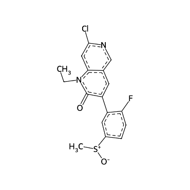 CCn1c(=O)c(-c2cc([S+](C)[O-])ccc2F)cc2cnc(Cl)cc21